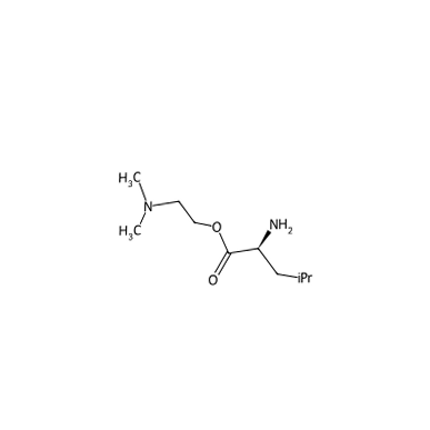 CC(C)C[C@H](N)C(=O)OCCN(C)C